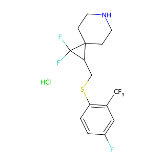 Cl.Fc1ccc(SCC2C(F)(F)C23CCNCC3)c(C(F)(F)F)c1